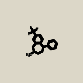 CN1CCC(c2ccccc2)c2ccc(C(F)(F)F)cc2C1